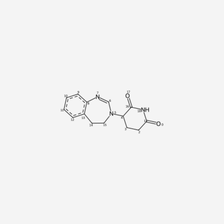 O=C1CCC(N2C=Nc3ccccc3CC2)C(=O)N1